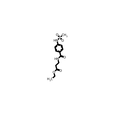 CCOC(=O)CCNC(=O)c1ccc(NS(C)(=O)=O)cc1